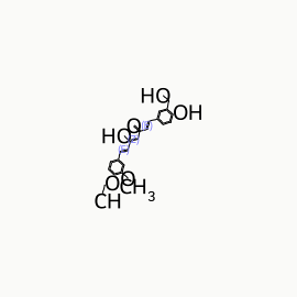 C#CCOc1ccc(/C=C/C(O)=C/C(=O)/C=C/c2ccc(O)c(CO)c2)cc1OC